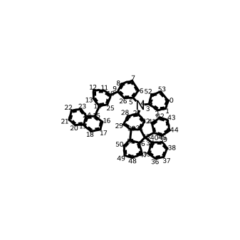 c1ccc(N(c2cccc(-c3cccc(-c4cccc5ccccc45)c3)c2)c2ccc3c(c2)C(c2ccccc2)(c2ccccc2)c2ccccc2-3)cc1